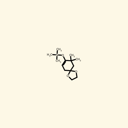 CC1(C)CC2(CC=C1O[Si](C)(C)C)OCCO2